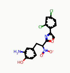 Nc1cc(CC(c2nc(-c3ccc(Cl)cc3Cl)co2)[N+](=O)[O-])ccc1O